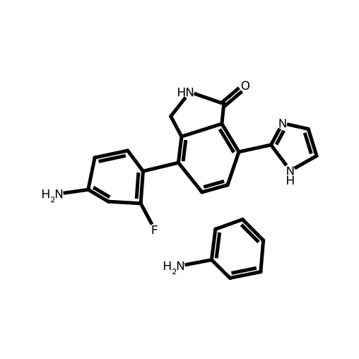 Nc1ccc(-c2ccc(-c3ncc[nH]3)c3c2CNC3=O)c(F)c1.Nc1ccccc1